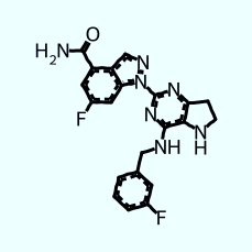 NC(=O)c1cc(F)cc2c1cnn2-c1nc2c(c(NCc3cccc(F)c3)n1)NCC2